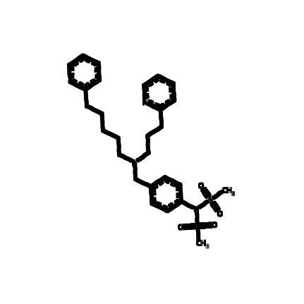 CS(=O)(=O)N(c1ccc(CN(CCCCCc2ccccc2)CCCc2ccccn2)cc1)S(C)(=O)=O